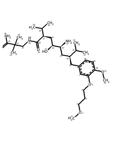 COCCCOc1cc(C[C@@H](C[C@H](N)[C@@H](O)C[C@@H](C(=O)NCC(C)(C)C(N)=O)C(C)C)C(C)C)ccc1OC